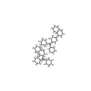 c1ccc(N(c2ccc(-c3cccc4ccccc34)cc2)c2cccc(-c3cccc4c3ccc3c4c4ccccc4n3-c3ccccc3)c2)cc1